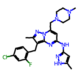 Cc1cc(Nc2cc(CN3CCN(C)CC3)n3nc(C)c(Cc4ccc(Cl)cc4F)c3n2)n[nH]1